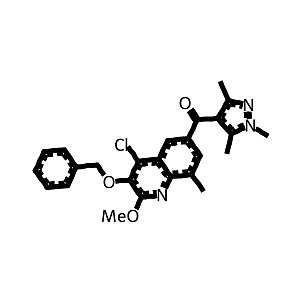 COc1nc2c(C)cc(C(=O)c3c(C)nn(C)c3C)cc2c(Cl)c1OCc1ccccc1